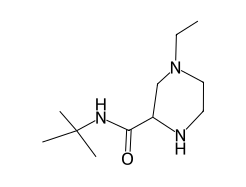 CCN1CCNC(C(=O)NC(C)(C)C)C1